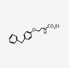 CCOC(=O)NCCOc1ccc(Cc2ccccc2)cc1